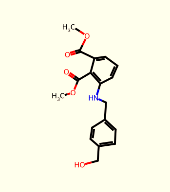 COC(=O)c1cccc(NCc2ccc(CO)cc2)c1C(=O)OC